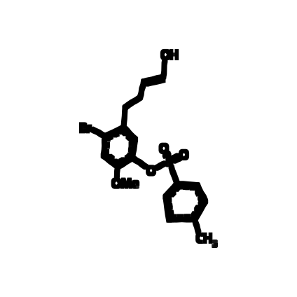 COc1cc(Br)c(CCC=CO)cc1OS(=O)(=O)c1ccc(C)cc1